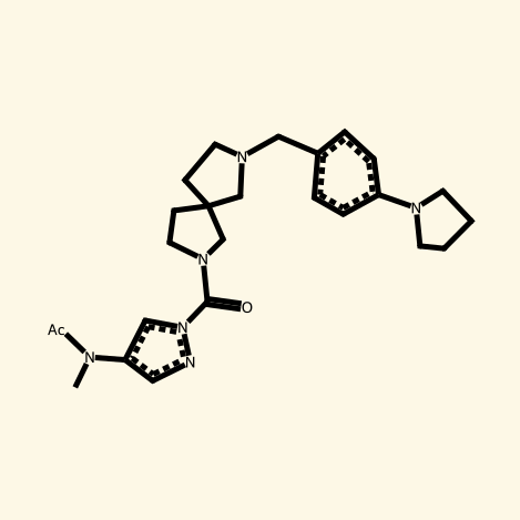 CC(=O)N(C)c1cnn(C(=O)N2CCC3(CCN(Cc4ccc(N5CCCC5)cc4)C3)C2)c1